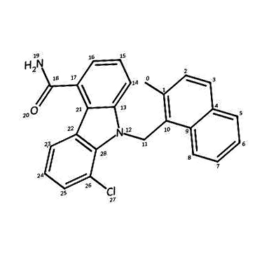 Cc1ccc2ccccc2c1Cn1c2cccc(C(N)=O)c2c2[c]ccc(Cl)c21